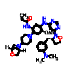 C=CC(=O)Nc1cc(Nc2cc(N3OCC[C@@H]3Cc3cccc(N(C)C)c3)ncn2)c(OC)cc1N1CCC(N2C[C@@H]3C[C@H]2CO3)CC1